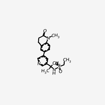 CCS(=O)(=O)NC(C)(C)c1cncc(-c2ccc3c(c2)CCC(=O)N3C)c1